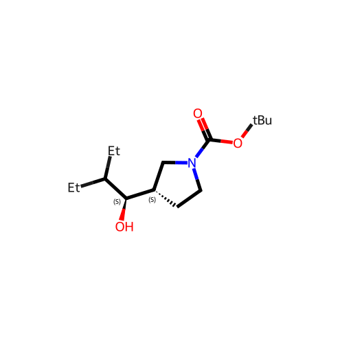 CCC(CC)[C@H](O)[C@H]1CCN(C(=O)OC(C)(C)C)C1